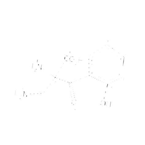 NCC(N)(C(=O)O)C(=O)c1ccccc1O